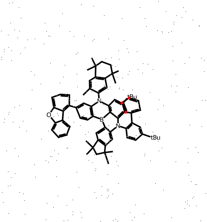 Cc1cc2c(cc1N1c3cc(-c4cccc5oc6ccccc6c45)ccc3B3c4cc5c(cc4N(c4ccc(C(C)(C)C)cc4-c4ccccc4)c4cc(C(C)(C)C)cc1c43)C(C)(C)CC5(C)C)C(C)(C)CCC2(C)C